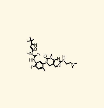 Cc1cc(F)c(NC(=O)Nc2cc(C(C)(C)C)no2)cc1N1Cc2cnc(NCCN(C)C)nc2N(C)C1=O